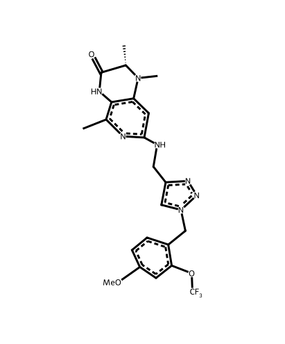 COc1ccc(Cn2cc(CNc3cc4c(c(C)n3)NC(=O)[C@H](C)N4C)nn2)c(OC(F)(F)F)c1